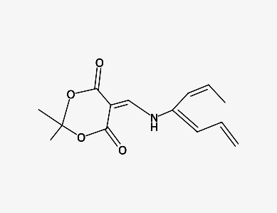 C=C/C=C(\C=C/C)NC=C1C(=O)OC(C)(C)OC1=O